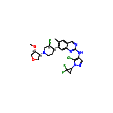 CO[C@H]1COC[C@H]1N1CC[C@@H](c2cc3nc(Nc4cnn(C5CC5(F)F)c4Cl)ncc3cc2C)[C@H](F)C1